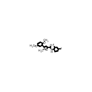 COc1ccc(OC)c(-c2cc(C(=O)Nc3ccc(F)cc3F)nn2C)c1